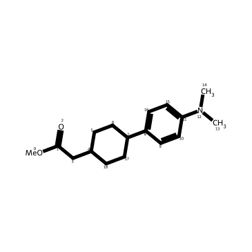 COC(=O)CC1CCC(c2ccc(N(C)C)cc2)CC1